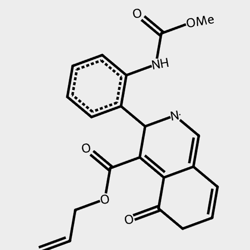 C=CCOC(=O)C1=C2C(=O)CC=CC2=C[N]C1c1ccccc1NC(=O)OC